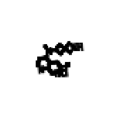 CN(c1ccnc2ccc(F)cc12)C1CC2(CNC2)C1.Cl